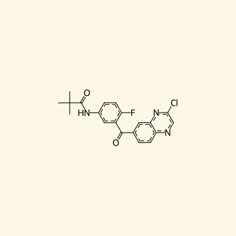 CC(C)(C)C(=O)Nc1ccc(F)c(C(=O)c2ccc3ncc(Cl)nc3c2)c1